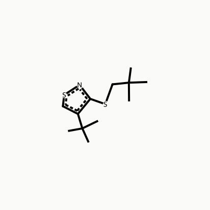 CC(C)(C)CSc1nscc1C(C)(C)C